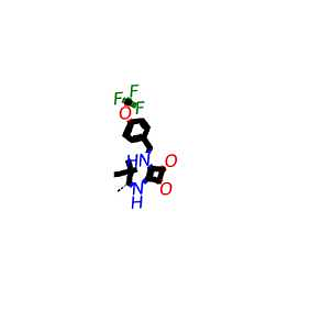 C[C@@H](Nc1c(NCc2ccc(OC(F)(F)F)cc2)c(=O)c1=O)C(C)(C)C